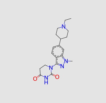 CCN1CCC(c2ccc3c(N4CCC(=O)NC4=O)nn(C)c3c2)CC1